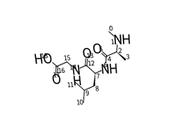 CN[C@@H](C)C(=O)N[C@@H](CC(C)C)C(=O)NCC(=O)O